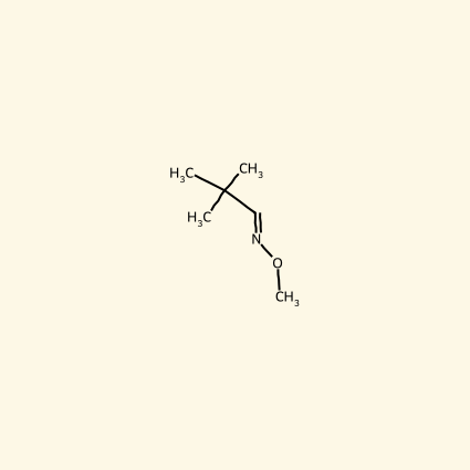 CO/N=C/C(C)(C)C